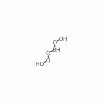 OOBOOO